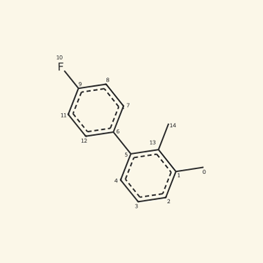 Cc1cccc(-c2[c]cc(F)cc2)c1C